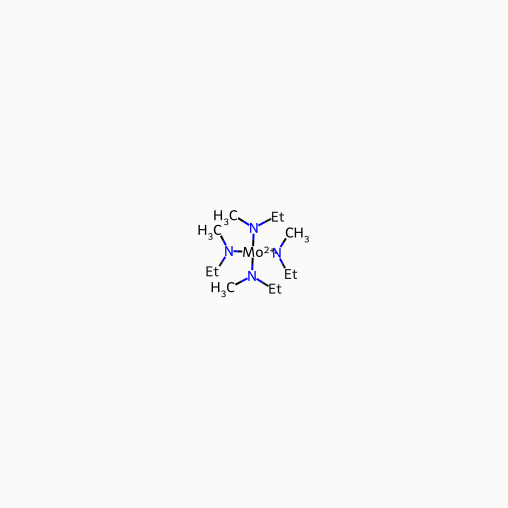 CC[N](C)[Mo+2]([N](C)CC)([N](C)CC)[N](C)CC